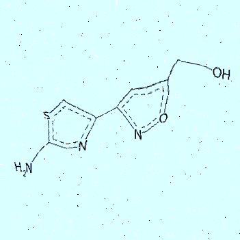 Nc1nc(-c2cc(CO)on2)cs1